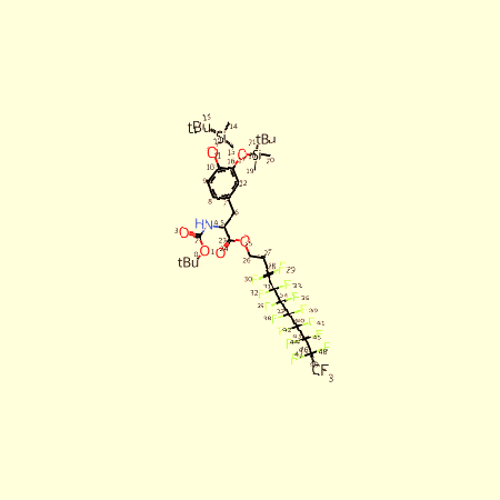 CC(C)(C)OC(=O)NC(Cc1ccc(O[Si](C)(C)C(C)(C)C)c(O[Si](C)(C)C(C)(C)C)c1)C(=O)OCCC(F)(F)C(F)(F)C(F)(F)C(F)(F)C(F)(F)C(F)(F)C(F)(F)C(F)(F)F